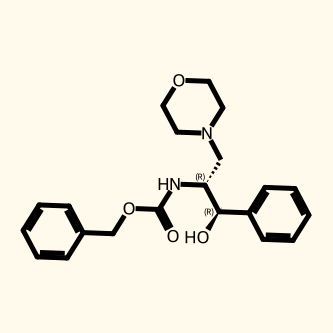 O=C(N[C@H](CN1CCOCC1)[C@H](O)c1ccccc1)OCc1ccccc1